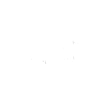 CC(C)(C)[C@@H](Cc1cscn1)C(=O)O